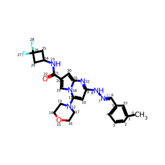 Cc1cccc(/C=N/Nc2cc(N3CCOCC3)n3cc(C(=O)NC4CC(F)(F)C4)cc3n2)c1